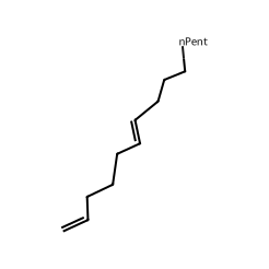 C=CCCCC=CCCCCCCCC